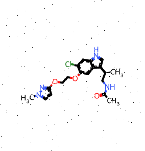 CC(=O)NC[C@H](C)c1c[nH]c2cc(Cl)c(OCCOc3ccn(C)n3)cc12